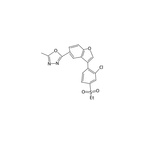 CCS(=O)(=O)c1ccc(-c2coc3ccc(-c4nnc(C)o4)cc23)c(Cl)c1